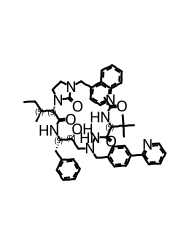 CC[C@H](C)[C@@H](C(=O)N[C@@H](Cc1ccccc1)[C@H](O)CN(Cc1ccc(-c2ccccn2)cc1)NC(=O)[C@@H](NC(C)=O)C(C)(C)C)N1CCN(Cc2ccnc3ccccc23)C1=O